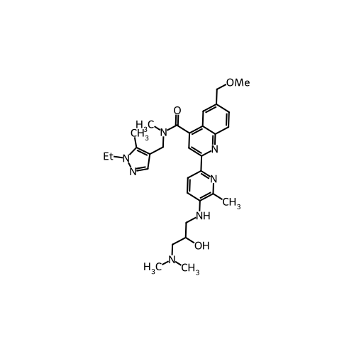 CCn1ncc(CN(C)C(=O)c2cc(-c3ccc(NCC(O)CN(C)C)c(C)n3)nc3ccc(COC)cc23)c1C